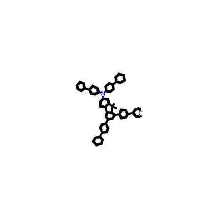 CC1(C)c2cc(N(c3ccc(-c4ccccc4)cc3)c3ccc(-c4ccccc4)cc3)ccc2-c2cc(-c3ccc(-c4ccccc4)cc3)cc(-c3ccc(-c4ccccc4)cc3)c21